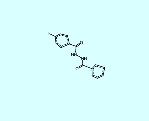 O=C(NNC(=O)c1ccc(I)cc1)c1ccccc1